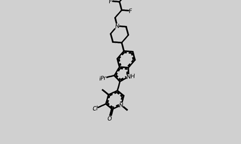 Cc1c(-c2[nH]c3ccc(C4CCN(CC(F)C(F)F)CC4)cc3c2C(C)C)cn(C)c(=O)c1Cl